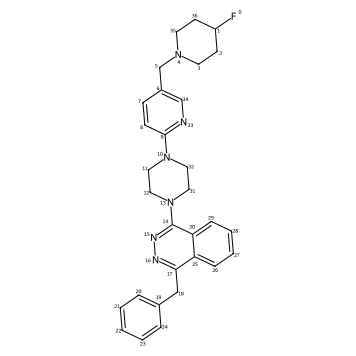 FC1CCN(Cc2ccc(N3CCN(c4nnc(Cc5ccccc5)c5ccccc45)CC3)nc2)CC1